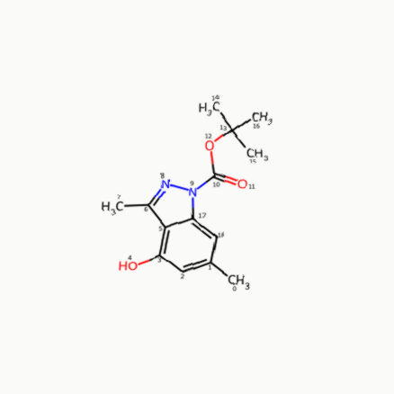 Cc1cc(O)c2c(C)nn(C(=O)OC(C)(C)C)c2c1